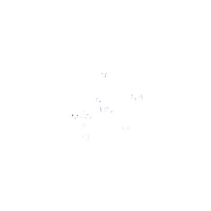 COc1c(Cl)cccc1Nc1c(-c2ccnc3ccc(OCC4(F)CC4)nc23)[nH]c2c1C(=O)CCC2